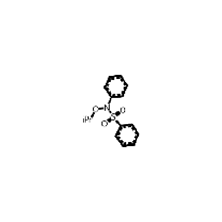 CC(C)ON(c1ccccc1)S(=O)(=O)c1ccccc1